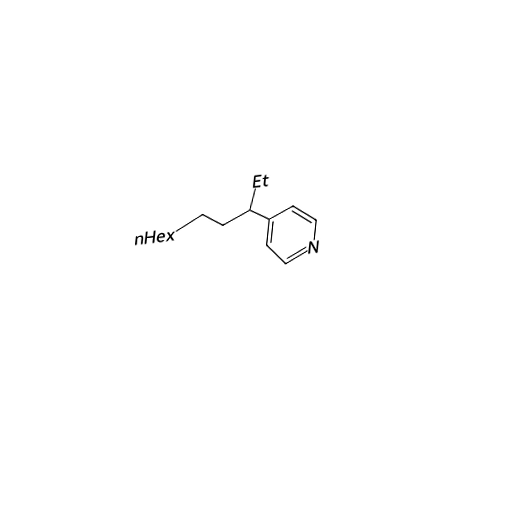 CCCCCCCCC(CC)c1ccncc1